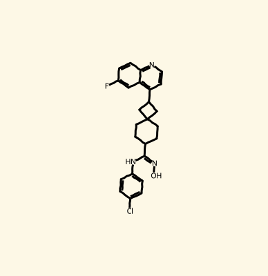 O/N=C(\Nc1ccc(Cl)cc1)C1CCC2(CC1)CC(c1ccnc3ccc(F)cc13)C2